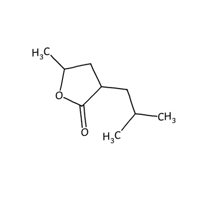 CC(C)CC1CC(C)OC1=O